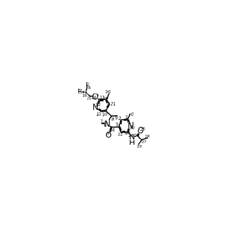 Cc1cc(C(=O)N(C)C(C)c2cnc(OCC(F)F)c(C)c2)cc(NC(=O)C(C)C)n1